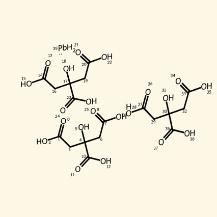 O=C(O)CC(O)(CC(=O)O)C(=O)O.O=C(O)CC(O)(CC(=O)O)C(=O)O.O=C(O)CC(O)(CC(=O)O)C(=O)O.[PbH2]